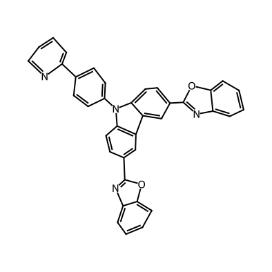 c1ccc(-c2ccc(-n3c4ccc(-c5nc6ccccc6o5)cc4c4cc(-c5nc6ccccc6o5)ccc43)cc2)nc1